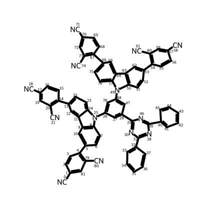 N#Cc1ccc(-c2ccc3c(c2)c2cc(-c4ccc(C#N)cc4C#N)ccc2n3-c2cc(-c3nc(-c4ccccc4)nc(-c4ccccc4)n3)cc(-n3c4ccc(-c5ccc(C#N)cc5C#N)cc4c4cc(-c5ccc(C#N)cc5C#N)ccc43)c2)c(C#N)c1